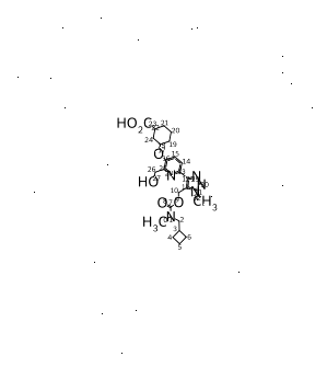 CN(CC1CCC1)C(=O)OCc1c(-c2ccc(OC3CCCC(C(=O)O)C3)c(CO)n2)nnn1C